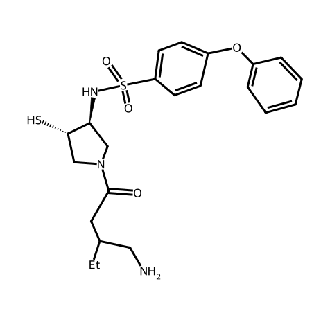 CCC(CN)CC(=O)N1C[C@H](NS(=O)(=O)c2ccc(Oc3ccccc3)cc2)[C@@H](S)C1